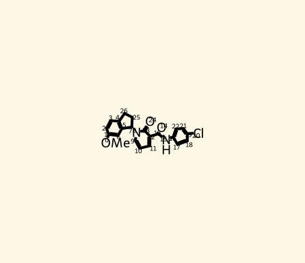 COc1ccc2c(c1)C(n1cccc(C(=O)Nc3ccc(Cl)cc3)c1=O)CC2